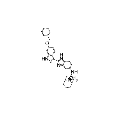 CN1C2CCCC1CC(Nc1ccc3[nH]c(-c4n[nH]c5cc(OCc6ccccc6)ccc45)nc3c1)C2